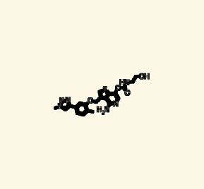 Cc1ccc(-c2cn(C)nn2)cc1OCc1csc2c(OC(=O)NCCO)cnc(N)c12